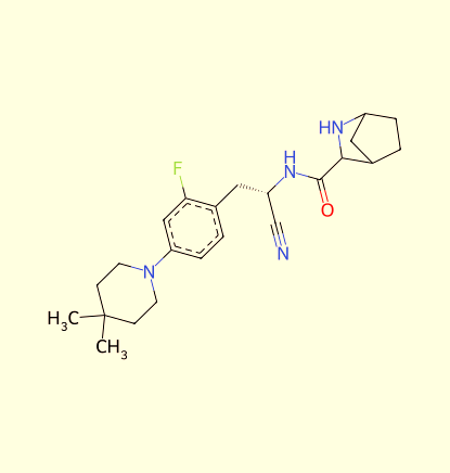 CC1(C)CCN(c2ccc(C[C@@H](C#N)NC(=O)C3NC4CCC3C4)c(F)c2)CC1